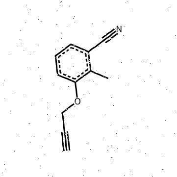 C#CCOc1cccc(C#N)c1C